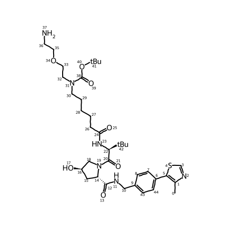 Cc1ncsc1-c1ccc(CNC(=O)[C@@H]2C[C@@H](O)CN2C(=O)[C@@H](NC(=O)CCCCCN(CCOCCN)C(=O)OC(C)(C)C)C(C)(C)C)cc1